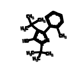 Cc1ccccc1-c1nn(C(C)(C)C)c(O)c1C(C)(C)C